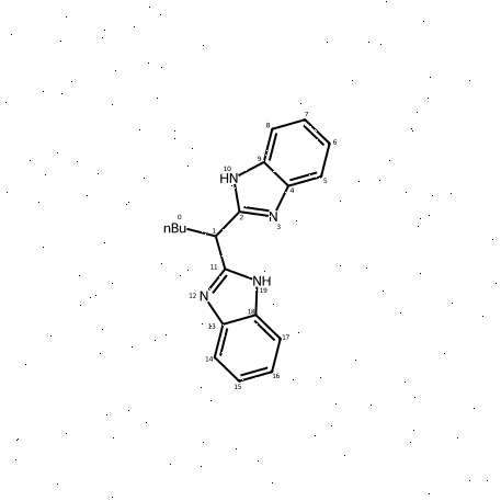 CCCCC(c1nc2ccccc2[nH]1)c1nc2ccccc2[nH]1